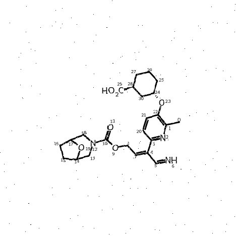 Cc1nc(/C(C=N)=C\COC(=O)N2CC3CCC(C2)O3)ccc1O[C@H]1CCC[C@H](C(=O)O)C1